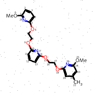 COc1cccc(OCCOc2cccc(OCCOc3cc(C)cc(OC)n3)n2)n1